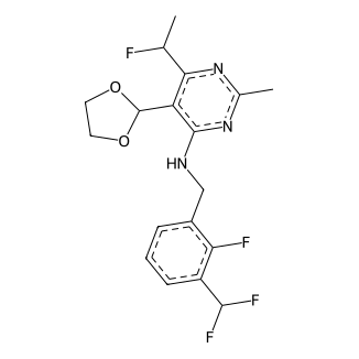 Cc1nc(NCc2cccc(C(F)F)c2F)c(C2OCCO2)c(C(C)F)n1